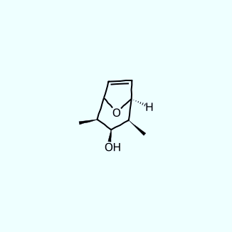 C[C@H]1[C@@H](O)[C@@H](C)C2C=C[C@@H]1O2